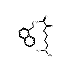 C=C(C)C(=O)NCCCN(C)C.ClCc1cccc2ccccc12